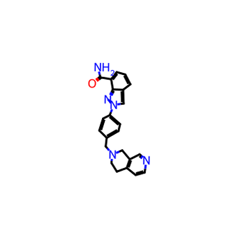 NC(=O)c1cccc2cn(-c3ccc(CN4CCc5ccncc5C4)cc3)nc12